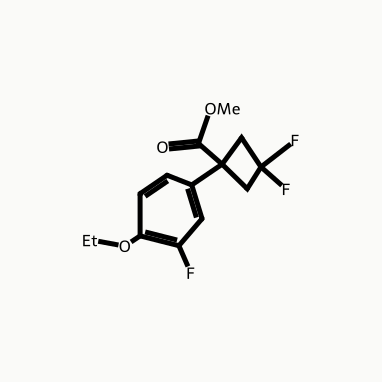 CCOc1ccc(C2(C(=O)OC)CC(F)(F)C2)cc1F